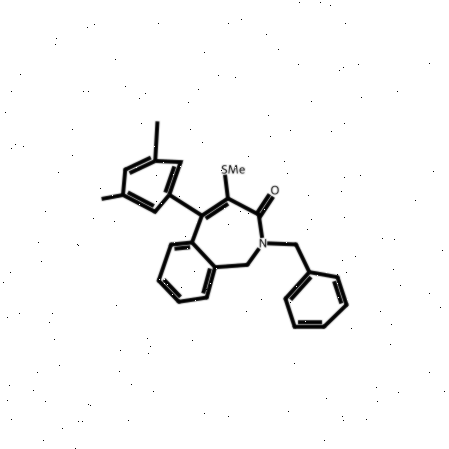 CSC1=C(c2cc(C)cc(C)c2)c2ccccc2CN(Cc2ccccc2)C1=O